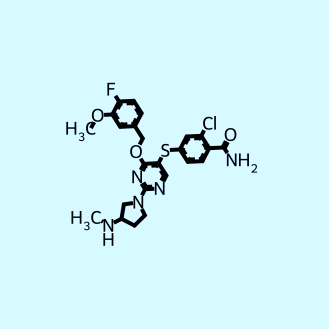 CNC1CCN(c2ncc(Sc3ccc(C(N)=O)c(Cl)c3)c(OCc3ccc(F)c(OC)c3)n2)C1